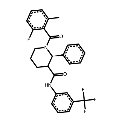 Cc1cccc(F)c1C(=O)N1CCCC(C(=O)Nc2cccc(C(F)(F)F)c2)[C@@H]1c1ccccc1